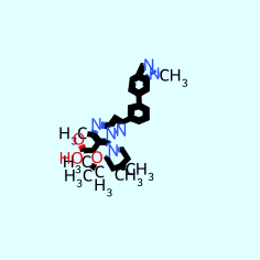 Cc1nc2cc(-c3cccc(-c4ccc5cnn(C)c5c4)c3)nn2c(N2CCC(C)(C)CC2)c1[C@H](OC(C)(C)C)C(=O)O